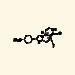 COC1CCC(c2cn3c(n2)C=C[C@@]24CC(F)=CC(=O)C2NC=C[C@H]34)CC1